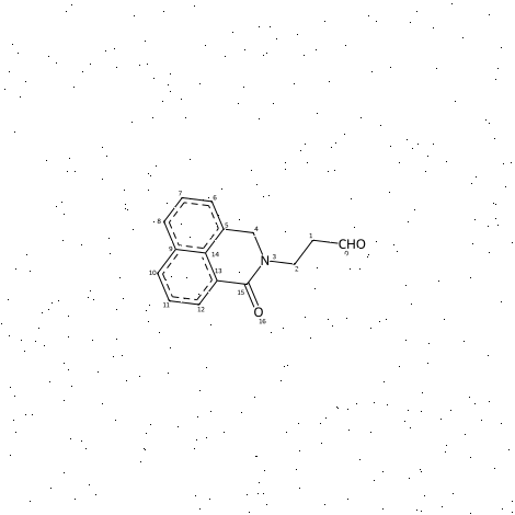 O=CCCN1Cc2cccc3cccc(c23)C1=O